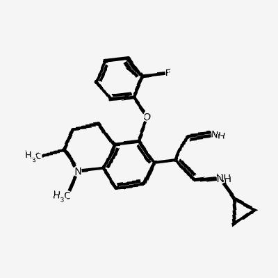 CC1CCc2c(ccc(/C(C=N)=C/NC3CC3)c2Oc2ccccc2F)N1C